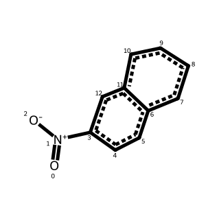 O=[N+]([O-])c1ccc2ccccc2c1